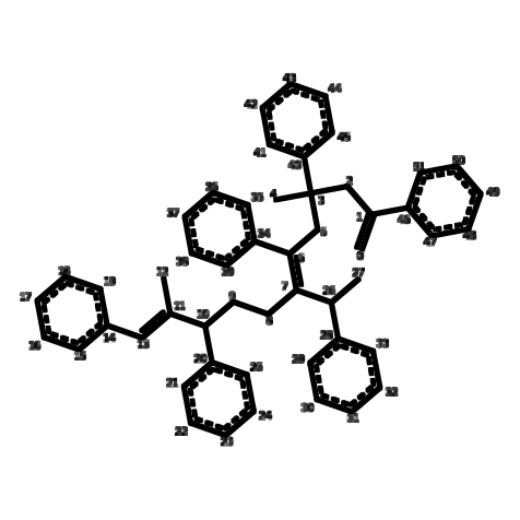 C=C(CC(C)(CC(=C(CCC(C(C)=Cc1ccccc1)c1ccccc1)C(C)c1ccccc1)c1ccccc1)c1ccccc1)c1ccccc1